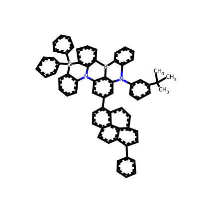 CC(C)(C)c1cccc(N2c3ccccc3B3c4cccc5c4N(c4ccccc4[Si]5(c4ccccc4)c4ccccc4)c4cc(-c5ccc6ccc7c(-c8ccccc8)ccc8ccc5c6c87)cc2c43)c1